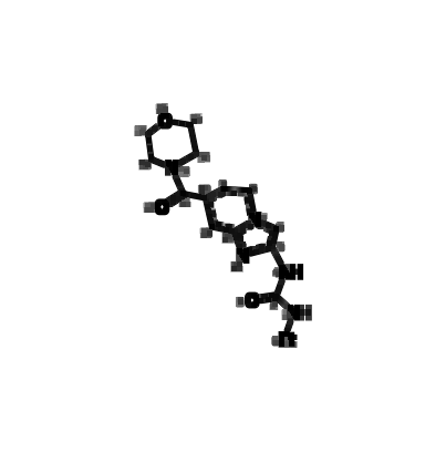 CCNC(=O)Nc1cn2ccc(C(=O)N3CCOCC3)cc2n1